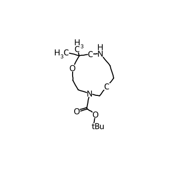 CC(C)(C)OC(=O)N1CCCCNCC(C)(C)OCC1